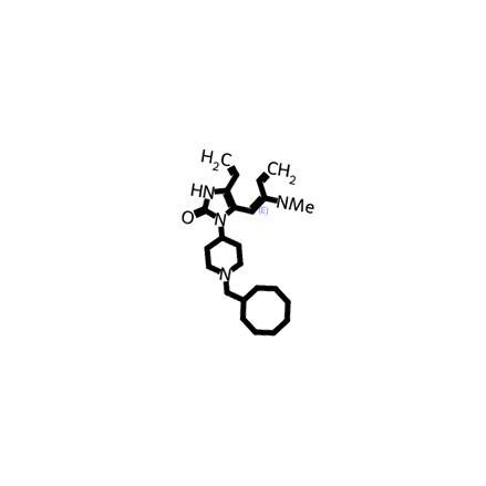 C=C/C(=C\c1c(C=C)[nH]c(=O)n1C1CCN(CC2CCCCCCC2)CC1)NC